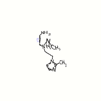 CNN(/C=C\N)CCn1ccnc1C